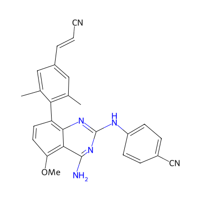 COc1ccc(-c2c(C)cc(C=CC#N)cc2C)c2nc(Nc3ccc(C#N)cc3)nc(N)c12